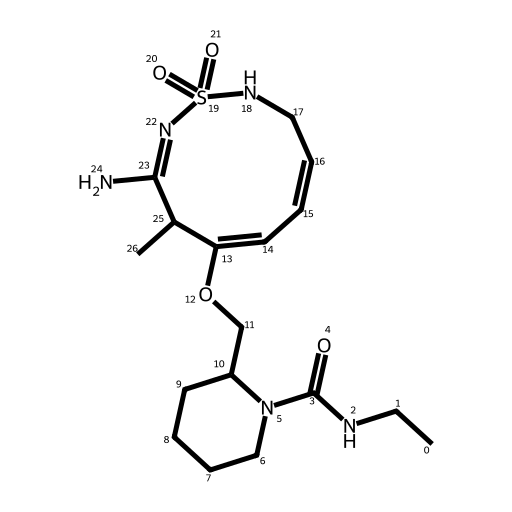 CCNC(=O)N1CCCCC1CO/C1=C/C=C\CNS(=O)(=O)/N=C(/N)C1C